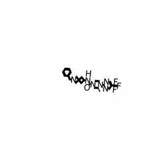 C[C@H]1CN(C(=O)NC2CC3(C2)CN(Cc2ccccc2)C3)CCN1c1ncc(C(F)(F)F)cn1